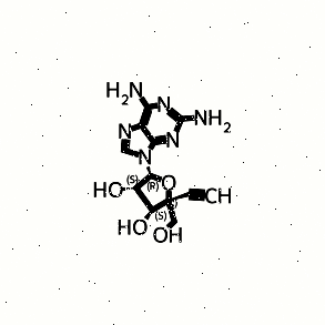 C#C[C@]1(CO)O[C@@H](n2cnc3c(N)nc(N)nc32)[C@@H](O)[C@@H]1O